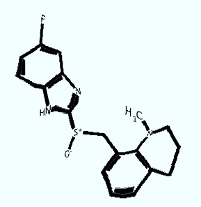 CN1CCCc2cccc(C[S+]([O-])c3nc4cc(F)ccc4[nH]3)c21